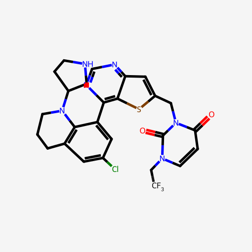 O=c1ccn(CC(F)(F)F)c(=O)n1Cc1cc2ncnc(-c3cc(Cl)cc4c3N(C3CCNC3)CCC4)c2s1